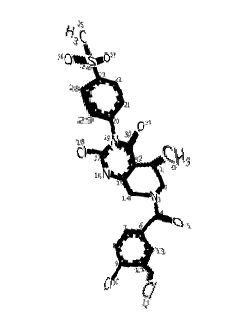 CC1CN(C(=O)c2ccc(Cl)c(Cl)c2)Cc2nc(Cl)n(-c3ccc(S(C)(=O)=O)cc3)c(=O)c21